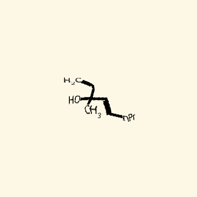 C=CC(C)(O)C=CCCC